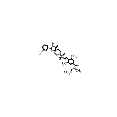 Cc1cc(C(=O)N(C)CC(=O)O)cc(C)c1/C=C/S(=O)(=O)N1CCC2(CC1)N=C(c1cccc(C(F)(F)F)c1)NC2=O